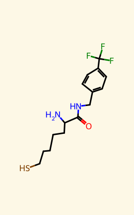 NC(CCCCCS)C(=O)NCc1ccc(C(F)(F)F)cc1